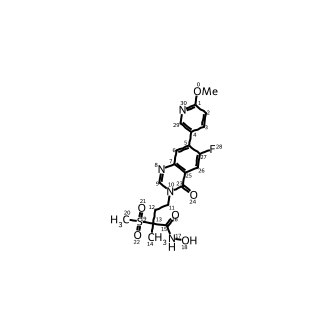 COc1ccc(-c2cc3ncn(CCC(C)(C(=O)NO)S(C)(=O)=O)c(=O)c3cc2F)cn1